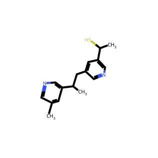 Cc1cncc(C(C)Cc2cncc(C(C)S)c2)c1